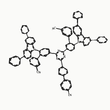 N#Cc1ccc(-c2ccc(-c3nc(-c4ccc(-n5c6ccc(-c7ccccc7)cc6c6cc(-c7ccccc7)ccc65)c(-c5cccc(C#N)c5)c4)nc(-c4ccc(-n5c6ccc(-c7ccccc7)cc6c6cc(-c7ccccc7)ccc65)c(-c5cccc(C#N)c5)c4)n3)cc2)cc1